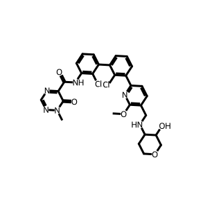 COc1nc(-c2cccc(-c3cccc(NC(=O)c4ncnn(C)c4=O)c3Cl)c2Cl)ccc1CNC1CCOCC1O